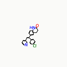 O=C1CCc2cc(C(=Cc3cccnc3)c3ccc(Cl)cc3)ccc2N1